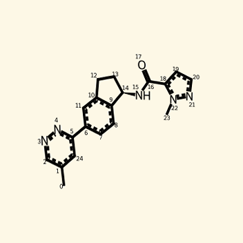 Cc1cnnc(-c2ccc3c(c2)CC[C@H]3NC(=O)c2ccnn2C)c1